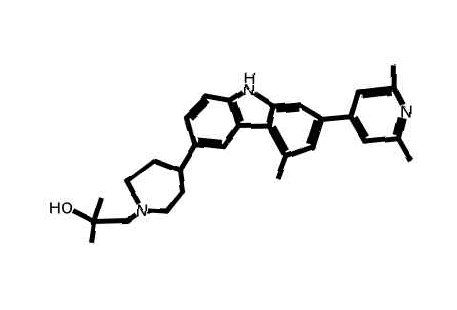 Cc1cc(-c2cc(C)c3c(c2)[nH]c2ccc(C4CCN(CC(C)(C)O)CC4)cc23)cc(C)n1